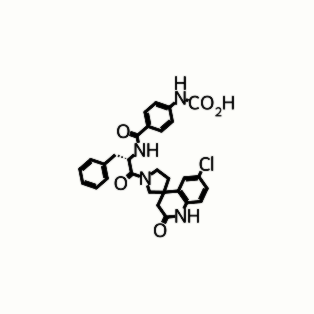 O=C(O)Nc1ccc(C(=O)N[C@@H](Cc2ccccc2)C(=O)N2CCC3(CC(=O)Nc4ccc(Cl)cc43)C2)cc1